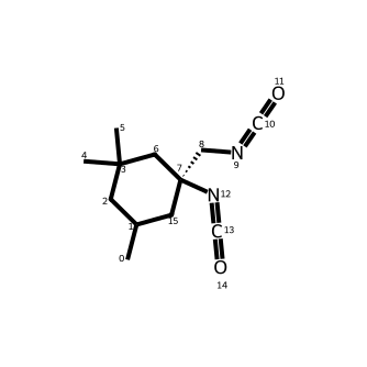 CC1CC(C)(C)C[C@@](CN=C=O)(N=C=O)C1